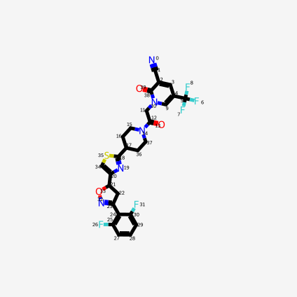 N#Cc1cc(C(F)(F)F)cn(CC(=O)N2CCC(c3nc(C4CC(c5c(F)cccc5F)=NO4)cs3)CC2)c1=O